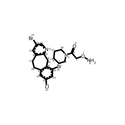 NOCC(=O)N1CCC([C@H]2c3ncc(Br)cc3CCc3cc(Cl)cc(Br)c32)CC1